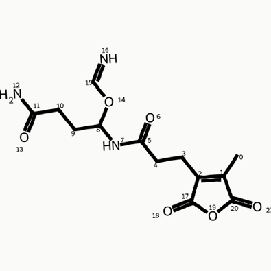 CC1=C(CCC(=O)NC(CCC(N)=O)OC=N)C(=O)OC1=O